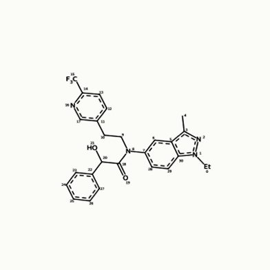 CCn1nc(C)c2cc(N(CCc3ccc(C(F)(F)F)nc3)C(=O)C(O)c3ccccc3)ccc21